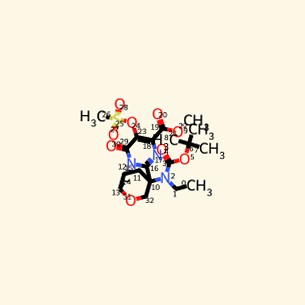 CCN(C(=O)OC(C)(C)C)C12CCC(Cn3c1nc(C(=O)OC)c(OS(C)(=O)=O)c3=O)OC2